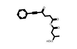 CCCCCCCCC(C)CC(=O)OC(=O)CCC(=O)C#Cc1ccccc1